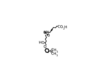 CN(C)c1cccc(OCC(O)CCCCS(=O)(=O)NCC#CCCCC(=O)O)c1